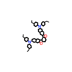 CCc1ccc(N(c2ccc(CC)cc2)c2ccc3cc4c(cc3c2)oc2ccc3oc5cc6cc(N(c7ccc(CC)cc7)c7ccc(CC)cc7)ccc6cc5c3c24)cc1